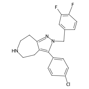 Fc1ccc(Cn2nc3c(c2-c2ccc(Cl)cc2)CCNCC3)cc1F